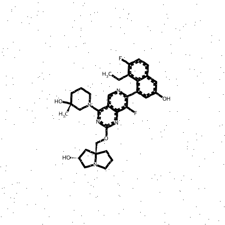 CCc1c(F)ccc2cc(O)cc(-c3ncc4c(N5CCC[C@@](C)(O)C5)nc(OC[C@@]56CCCN5C[C@H](O)C6)nc4c3F)c12